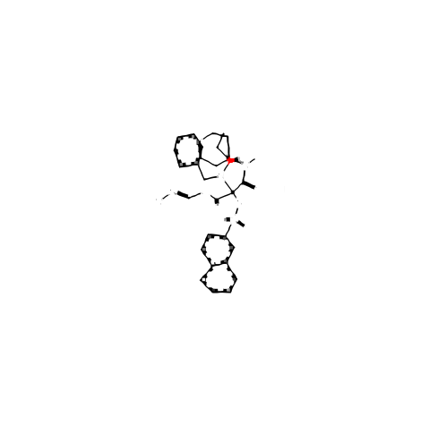 CCC(=O)N(Cc1ccccc1)C(NS(=O)(=O)c1ccc2ccccc2c1)(C(=O)OC=NN)C(=O)N(C)C1CCNCC1.Cl